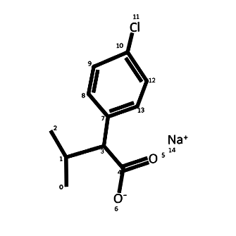 CC(C)C(C(=O)[O-])c1ccc(Cl)cc1.[Na+]